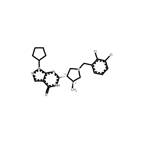 C[C@@H]1CN(Cc2cccc(Cl)c2Cl)C[C@H]1c1nc2c(cnn2C2CCCC2)c(=O)[nH]1